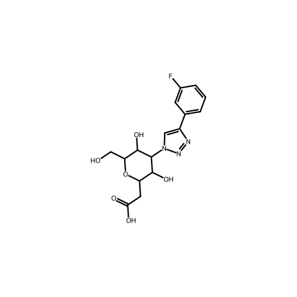 O=C(O)CC1OC(CO)C(O)C(n2cc(-c3cccc(F)c3)nn2)C1O